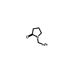 C[CH]CCN1CCCC1=O